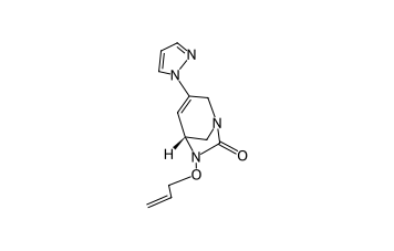 C=CCON1C(=O)N2CC(n3cccn3)=C[C@@H]1C2